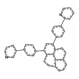 c1ccc(-c2ccc(-c3cc(-c4ccc(-c5cccnc5)cc4)c4ccc5cccc6ccc3c4c56)cc2)nc1